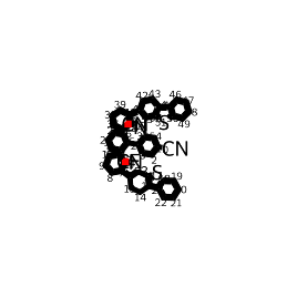 N#Cc1cc(-n2c3c(c4ccccc42)CCc2c-3sc3ccccc23)c(-c2c(C#N)cccc2C(F)(F)F)c(-n2c3ccccc3c3ccc4c5ccccc5sc4c32)c1